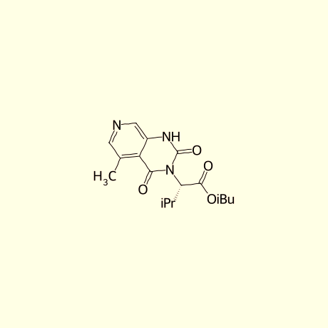 Cc1cncc2[nH]c(=O)n([C@H](C(=O)OCC(C)C)C(C)C)c(=O)c12